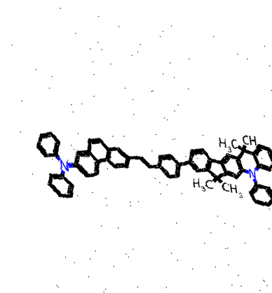 CC1(C)c2cc(-c3ccc(/C=C/c4ccc5c(ccc6cc(N(c7ccccc7)c7ccccc7)ccc65)c4)cc3)ccc2-c2cc3c(cc21)N(c1ccccc1)c1ccccc1C3(C)C